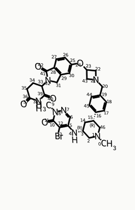 CN1C[C@H](Nc2cnn(C)c(=O)c2Br)C[C@H](c2ccc(CN3CC(Oc4ccc5c(c4)CN(C4CCC(=O)NC4=O)C5=O)C3)cc2)C1